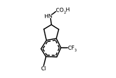 O=C(O)NC1Cc2cc(Cl)cc(C(F)(F)F)c2C1